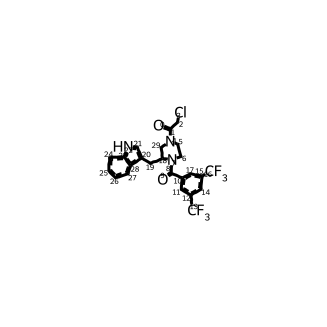 O=C(CCl)N1CCN(C(=O)c2cc(C(F)(F)F)cc(C(F)(F)F)c2)C(Cc2c[nH]c3ccccc23)C1